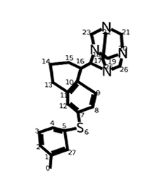 Cc1cccc(Sc2ccc3c(c2)CCCC3C2N3CN4CN(C3)CN2C4)c1